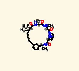 CC(C)[C@@H]1NC(=O)[C@H](C)C(C)CCCCc2cccc(c2)[C@@H](C)NC(=O)[C@@H]2CCCN(N2)C(=O)[C@H](C)NC1=O